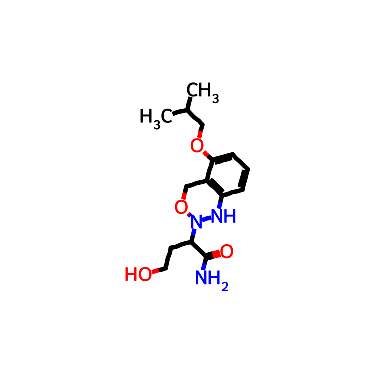 CC(C)COc1cccc2c1CON(C(CCO)C(N)=O)N2